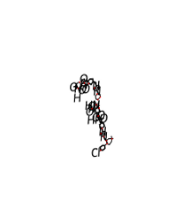 CC1(C)CCC(c2ccc(Cl)cc2)=C(CN2CCN(c3ccc(C(=O)NS(=O)(=O)c4ccc(NC[C@H]5CC[C@H](N6CCN(Cc7ccc8c(c7)C(=O)N(C7CCC(=O)NC7=O)C8=O)CC6)CC5)c([N+](=O)[O-])c4)cc3)CC2)C1